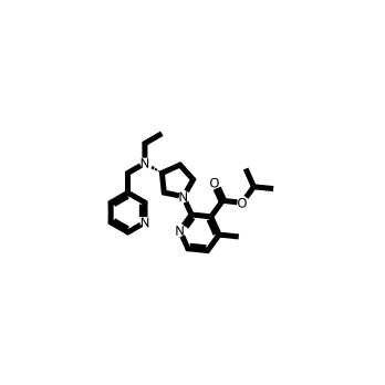 CCN(Cc1cccnc1)[C@@H]1CCN(c2nccc(C)c2C(=O)OC(C)C)C1